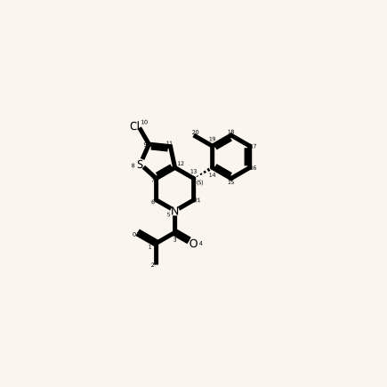 C=C(C)C(=O)N1Cc2sc(Cl)cc2[C@H](c2ccccc2C)C1